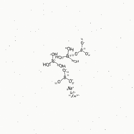 OB(O)O.OB(O)O.[Ce+3].[Na+].[O-]B([O-])[O-].[O-]B([O-])[O-].[Sr+2]